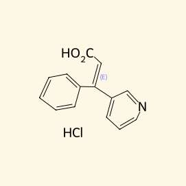 Cl.O=C(O)/C=C(\c1ccccc1)c1cccnc1